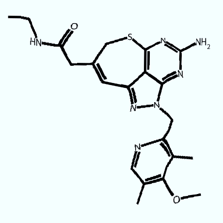 CCNC(=O)CC1=Cc2nn(Cc3ncc(C)c(OC)c3C)c3nc(N)nc(c23)SC1